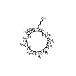 CC(C)C[C@@H]1C(=O)N(C)C(=O)N(C)C(=O)N(C)C(=O)NC(=O)N(C)[C@H](CSCCCCO)C(=O)N(C)C(C(C)O)C(=O)N[C@H](C(C)C)C(=O)N(C)[C@H](CC(C)C)C(=O)N[C@H](C)C(=O)N[C@@H](C)C(=O)N1C